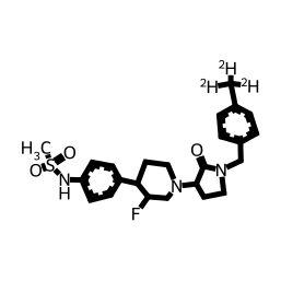 [2H]C([2H])([2H])c1ccc(CN2CCC(N3CCC(c4ccc(NS(C)(=O)=O)cc4)C(F)C3)C2=O)cc1